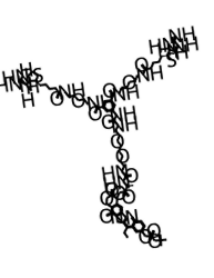 CCc1c2c(nc3ccc(OC(=O)OC(C)(C)C)cc13)-c1cc3c(c(=O)n1C2)COC(=O)[C@@]3(C)OC(=O)[C@H](C)NC(=O)NCCOCCOCCNC(=O)Nc1cc(C(=O)NCCOCCNC(=O)CCCC[C@@H]2SC[C@@H]3NC(=N)N[C@@H]32)cc(C(=O)NCCOCCNC(=O)CCCC[C@@H]2SC[C@@H]3NC(=N)N[C@@H]32)c1